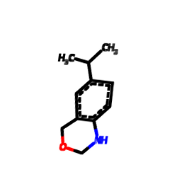 CC(C)c1ccc2c(c1)COCN2